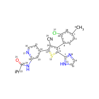 Cc1ccc(-c2c(-c3ncc[nH]3)sc(-c3ccnc(NC(=O)C(C)C)c3)c2C#N)c(Cl)c1